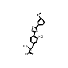 COc1cccc(-c2nc(-c3ccc(C[C@H](N)C(=O)O)cc3)no2)c1.Cl